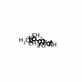 Cc1cc(-c2cc(F)c3c(=O)n(C4CCNC5(CC5)C4)ccc3c2)cc2c1nc(C)n2C